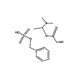 C=CC(=O)OC(C)N(C)C.O=S(=O)(O)OCc1ccccc1